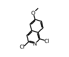 COc1ccc2c(Cl)nc(Cl)cc2c1